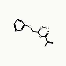 C=C(C)C(=O)OC(COc1cc[c]cc1)OCC